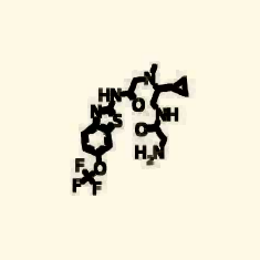 CN(CC(=O)Nc1nc2ccc(OC(F)(F)F)cc2s1)C(CNC(=O)CN)=C1CC1